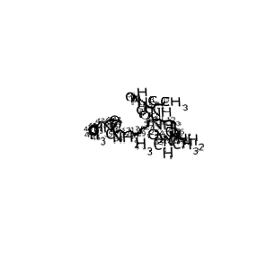 CC[C@H](C)[C@H](NC(=O)[C@](N)(CC/C=C\CC[C@@](C)(N)C(=O)N[C@@H](C)C=O)CCC/C=C\CCC[C@](C)(N)C(=O)N[C@H](C=O)Cc1ccccc1)C(=O)NCC=O